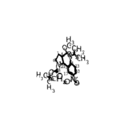 COC(=O)C1CCN(C(=O)OC(C)(C)C)C1c1cc([N+](=O)[O-])ccc1SC(C)C